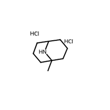 CC12CCCC(CCC1)N2.Cl.Cl